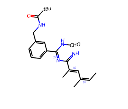 C/C=C(C)\C=C(/C)C(=N)/N=C(\NC=O)c1cccc(CNC(=O)C(C)(C)C)c1